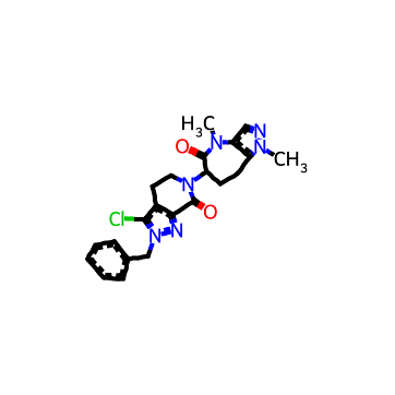 CN1C(=O)C(N2CCc3c(nn(Cc4ccccc4)c3Cl)C2=O)CCc2c1cnn2C